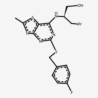 Cc1nc2nc(SCc3ccc(F)cc3)nc(N[C@@H](CO)CC(C)C)c2s1